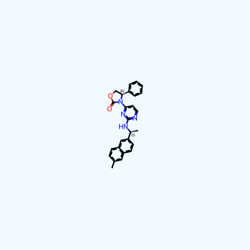 Cc1ccc2cc([C@H](C)Nc3nccc(N4C(=O)OC[C@H]4c4ccccc4)n3)ccc2c1